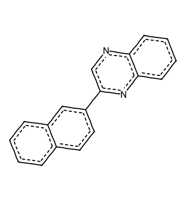 c1ccc2cc(-c3cnc4ccccc4n3)ccc2c1